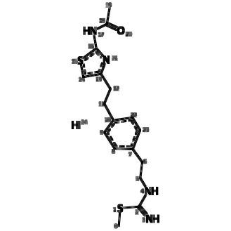 CSC(=N)NCCc1ccc(CCc2csc(NC(C)=O)n2)cc1.I